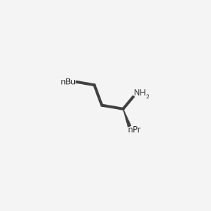 CCCCCC[C@@H](N)CCC